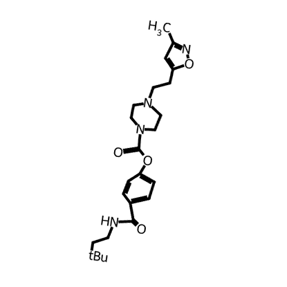 Cc1cc(CCN2CCN(C(=O)Oc3ccc(C(=O)NCCC(C)(C)C)cc3)CC2)on1